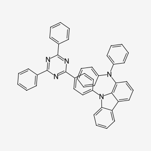 c1ccc(-c2nc(-c3ccccc3)nc(-c3ccc(-n4c5ccccc5c5cccc(N(c6ccccc6)c6ccccc6)c54)cc3)n2)cc1